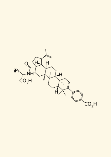 C=C(C)[C@@H]1CC[C@]2(C(=O)N[C@H](C(=O)O)C(C)C)CC[C@]3(C)[C@H](CC[C@@H]4[C@@]5(C)CC=C(c6ccc(C(=O)O)cc6)C(C)(C)[C@@H]5CC[C@]43C)[C@@H]12